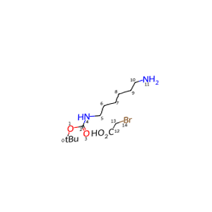 CC(C)(C)OC(=O)NCCCCCCN.O=C(O)CBr